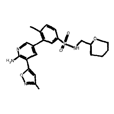 Cc1cc(-c2cc(-c3cc(S(=O)(=O)NCC4CCCCO4)ccc3C)cnc2N)on1